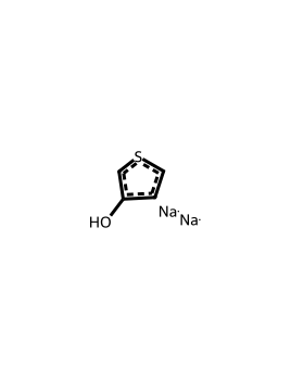 Oc1ccsc1.[Na].[Na]